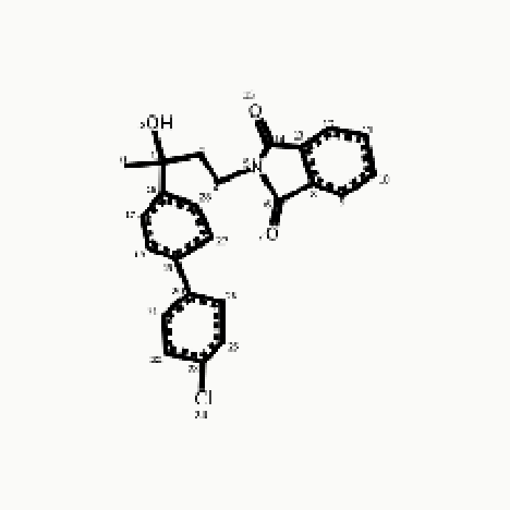 CC(O)(CCN1C(=O)c2ccccc2C1=O)c1ccc(-c2ccc(Cl)cc2)cc1